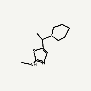 CNc1ncc(C(C)N2CCCCC2)s1